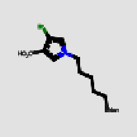 CCCCCCCCCCCCCCn1cc(Br)c(C(=O)O)c1